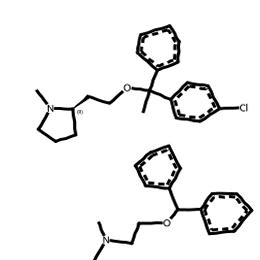 CN(C)CCOC(c1ccccc1)c1ccccc1.CN1CCC[C@@H]1CCOC(C)(c1ccccc1)c1ccc(Cl)cc1